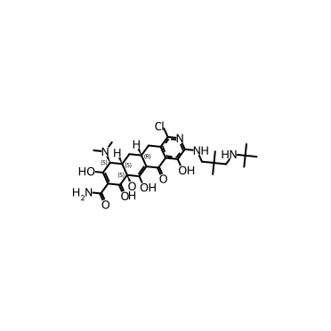 CN(C)[C@@H]1C(O)=C(C(N)=O)C(=O)[C@@]2(O)C(O)=C3C(=O)c4c(O)c(NCC(C)(C)CNC(C)(C)C)nc(Cl)c4C[C@H]3C[C@@H]12